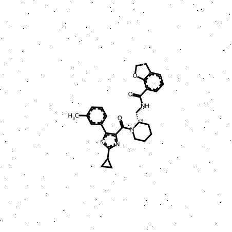 Cc1cccc(-c2sc(C3CC3)nc2C(=O)N2CCCC[C@H]2CNC(=O)c2cccc3c2OCC3)c1